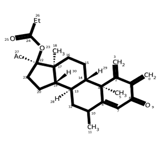 C=C1C(=C)[C@@]2(C)C(=CC1=O)C(C)C[C@@H]1[C@@H]2CC[C@@]2(C)[C@H]1CC[C@]2(OC(=O)CC)C(C)=O